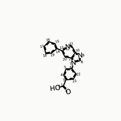 O=C(O)c1ccc(-n2cnc3cnc(-c4ccccc4)cc32)cc1